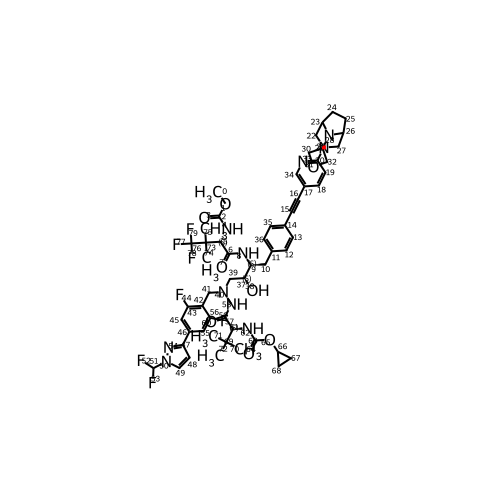 COC(=O)N[C@H](C(=O)N[C@@H](Cc1ccc(C#Cc2ccc(N3CC4CCC(C3)N4C3COC3)nc2)cc1)[C@@H](O)CN(Cc1c(F)cc(-c2ccn(C(F)F)n2)cc1F)NC(=O)[C@@H](NC(=O)OC1CC1)C(C)(C)C)C(C)(C)C(F)(F)F